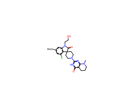 COc1cc(F)c2c(c1)N(CCO)C(=O)C21CCN(c2nc3c(c(=O)[nH]2)CCCN3C)CC1